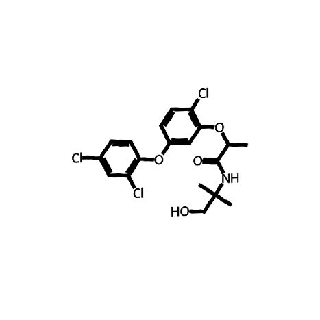 CC(Oc1cc(Oc2ccc(Cl)cc2Cl)ccc1Cl)C(=O)NC(C)(C)CO